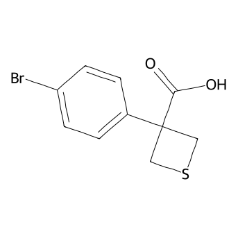 O=C(O)C1(c2ccc(Br)cc2)CSC1